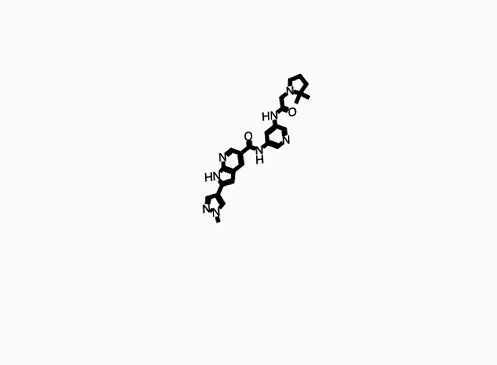 Cn1cc(-c2cc3cc(C(=O)Nc4cncc(NC(=O)CN5CCCC5(C)C)c4)cnc3[nH]2)cn1